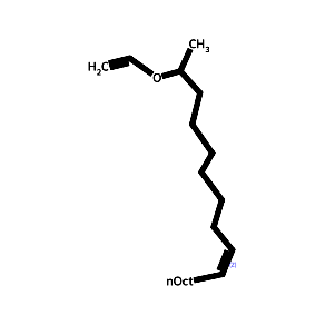 C=COC(C)CCCCCC/C=C\CCCCCCCC